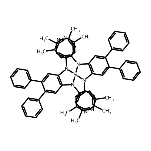 Cc1cc(N2c3cc(-c4ccccc4)c(-c4ccccc4)cc3N(c3cc(C)nc(C)c3)[Si]23N(c2cc(C)nc(C)c2)c2cc(-c4ccccc4)c(-c4ccccc4)cc2N3c2cc(C)nc(C)c2)cc(C)n1